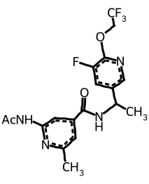 CC(=O)Nc1cc(C(=O)NC(C)c2cnc(OCC(F)(F)F)c(F)c2)cc(C)n1